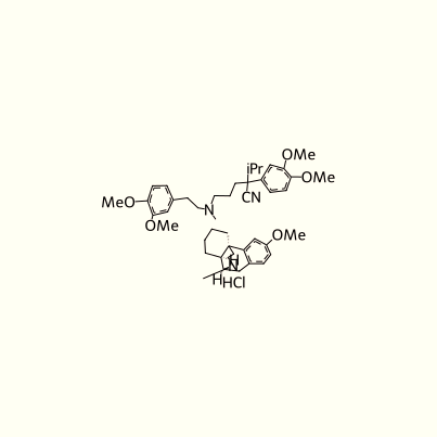 COc1ccc(CCN(C)CCCC(C#N)(c2ccc(OC)c(OC)c2)C(C)C)cc1OC.COc1ccc2c(c1)[C@]13CCCC[C@@H]1[C@H](C2)N(C)CC3.Cl